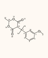 COc1cccc(C(C)(C)C2C(=O)OC(C)OC2=O)c1